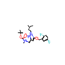 CC(C)CCn1nc(CN(C)C(=O)OC(C)(C)C)cc1OCc1cc(F)ccc1F